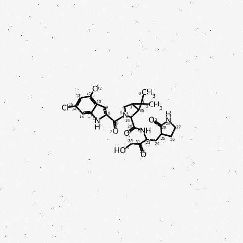 CC1(C)C2CN(C(=O)c3cc4c(Cl)cc(Cl)cc4[nH]3)C(C(=O)NC(CC3CCNC3=O)C(=O)CO)C21